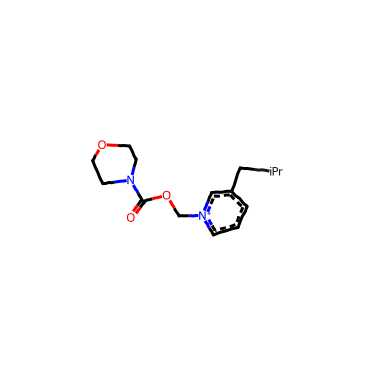 CC(C)Cc1ccc[n+](COC(=O)N2CCOCC2)c1